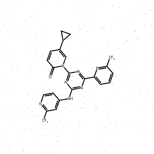 O=c1ccc(C2CC2)cn1-c1nc(Nc2ccnc(C(F)(F)F)c2)nc(-c2cccc(C(F)(F)F)n2)n1